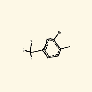 Cc1ccc(C(F)(F)F)cc1Br